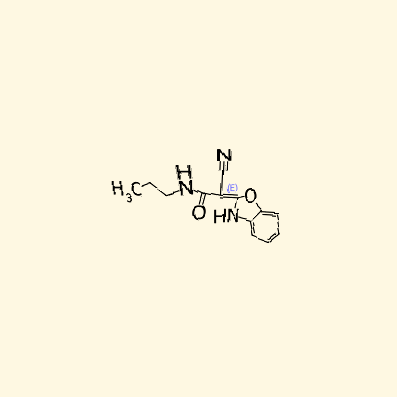 CCCNC(=O)/C(C#N)=C1\Nc2ccccc2O1